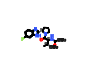 COC(=O)N[C@H](C(=O)N1CCC[C@H]1c1nc2ccc(F)cc2[nH]1)[C@@H](C)OC